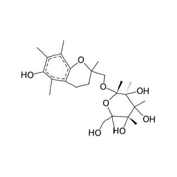 Cc1c(C)c2c(c(C)c1O)CCC(C)(CO[C@@]1(C)OC(C)(CO)[C@@](C)(O)C(C)(O)[C@]1(C)O)O2